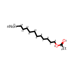 [CH2]CC(=O)OCCCCCCCCCCCCCCCCCCCC